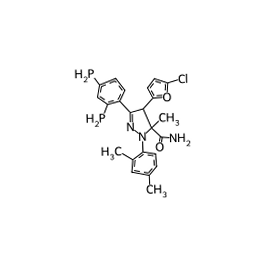 Cc1ccc(N2N=C(c3ccc(P)cc3P)C(c3ccc(Cl)o3)C2(C)C(N)=O)c(C)c1